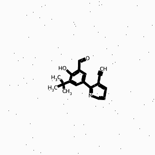 C#Cc1cccnc1-c1cc(C=O)c(O)c(C(C)(C)C)c1